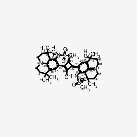 CC1(C)CCN2CCC(C)(C)c3c(NS(C)(=O)=O)c(C4=C([O-])/C(=c5/cc6c7c(c5NS(C)(=O)=O)C(C)(C)CC[N+]=7CCC6(C)C)C4=O)cc1c32